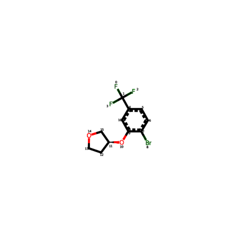 FC(F)(F)c1ccc(Br)c(O[C@H]2CCOC2)c1